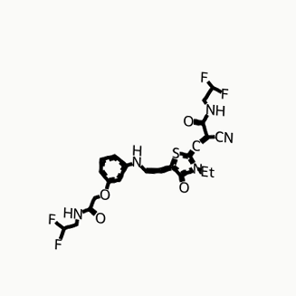 CCn1c(=C=C(C#N)C(=O)NCC(F)F)sc(=C=CNc2cccc(OCC(=O)NCC(F)F)c2)c1=O